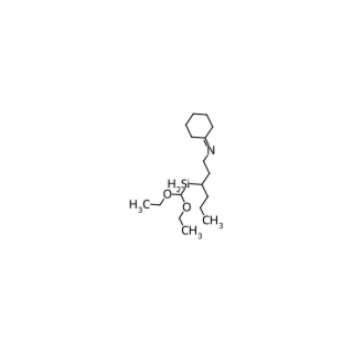 CCCC(CCN=C1CCCCC1)[SiH2]C(OCC)OCC